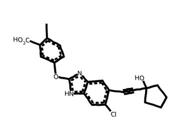 Cc1ccc(Oc2nc3cc(C#CC4(O)CCCC4)c(Cl)cc3[nH]2)cc1C(=O)O